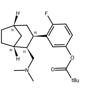 CN(C)C[C@H]1[C@@H]2CC[C@@H](C2)C[C@H]1c1cc(OC(=O)C(C)(C)C)ccc1F